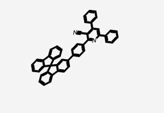 N#Cc1c(-c2ccccc2)cc(-c2ccccc2)nc1-c1ccc(-c2ccc3c(c2)C2(c4ccccc4-c4ccccc42)c2ccccc2-3)cc1